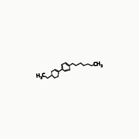 CCCCCCCc1ccc(C2=CCC(CC)CC2)cc1